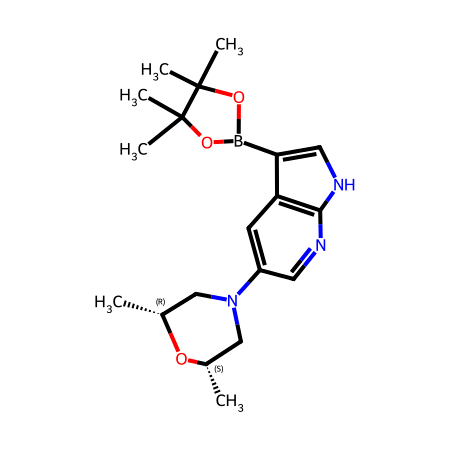 C[C@@H]1CN(c2cnc3[nH]cc(B4OC(C)(C)C(C)(C)O4)c3c2)C[C@H](C)O1